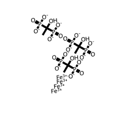 CC(O)(P(=O)([O-])[O-])P(=O)([O-])[O-].CC(O)(P(=O)([O-])[O-])P(=O)([O-])[O-].CC(O)(P(=O)([O-])[O-])P(=O)([O-])[O-].[Fe+3].[Fe+3].[Fe+3].[Fe+3]